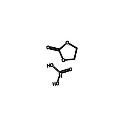 O=C1OCCO1.O=[PH](O)O